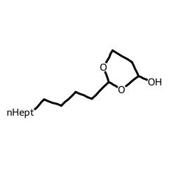 CCCCCCCCCCCC1OCCC(O)O1